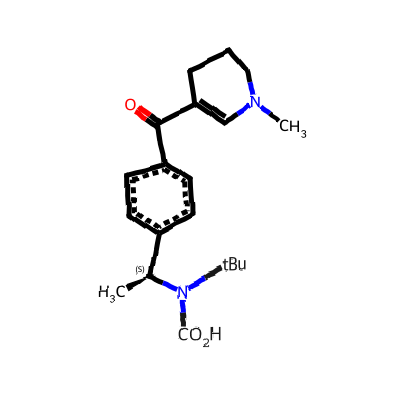 C[C@@H](c1ccc(C(=O)C2=CN(C)CCC2)cc1)N(C(=O)O)C(C)(C)C